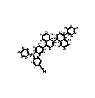 N#Cc1ccc2c(c1)c1cc(-c3ccc(-c4ccc(-c5ccccc5)c5ccccc45)c4ccccc34)ccc1n2-c1ccccc1